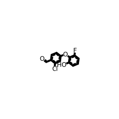 O=Cc1ccc(Oc2c(O)cccc2F)cc1Cl